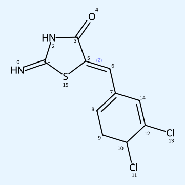 N=C1NC(=O)/C(=C/C2=CCC(Cl)C(Cl)=C2)S1